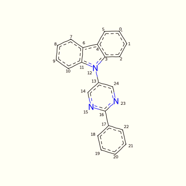 [c]1ccc2c(c1)c1ccccc1n2-c1cnc(-c2ccccc2)nc1